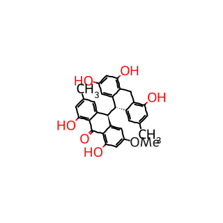 COc1cc(O)c2c(c1)[C@H]([C@H]1c3cc(C)cc(O)c3Cc3c(O)cc(O)cc31)c1cc(C)cc(O)c1C2=O